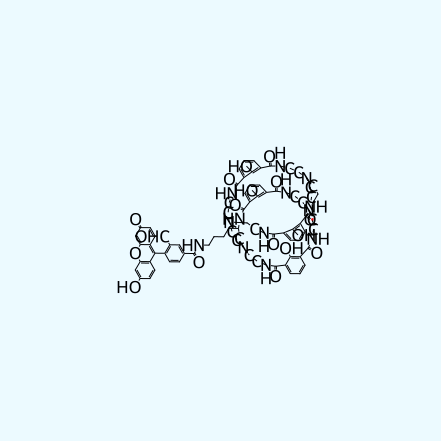 O=Cc1cc(C(=O)NCCCCC2CN3CCNC(=O)c4cccc(c4O)C(=O)NCCN(CCNC(=O)c4cccc(c4O)C(=O)N2)CCN2CCNC(=O)c4cccc(c4O)C(=O)NCCN(CCNC(=O)c4cccc(c4O)C(=O)NCC2)CC3)ccc1-c1c2ccc(=O)cc-2oc2cc(O)ccc12